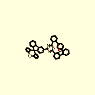 c1ccc(-c2ccccc2-c2nc(-c3ccc4c(c3)-c3ccccc3C43c4ccccc4Oc4ccccc43)nc(-c3cccc4c3oc3ccccc34)n2)cc1